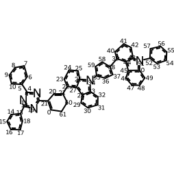 C1=C(c2nc(-c3ccccc3)nc(-c3ccccc3)n2)C=C(c2cccc3c2c2ccccc2n3-c2ccc(-c3cccc4c3c3ccccc3n4-c3ccccc3)cc2)CC1